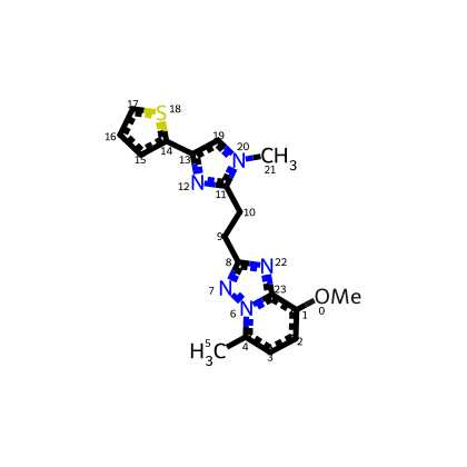 COc1ccc(C)n2nc(CCc3nc(-c4cccs4)cn3C)nc12